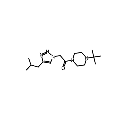 CC(C)Cc1cn(CC(=O)N2CCN(C(C)(C)C)CC2)nn1